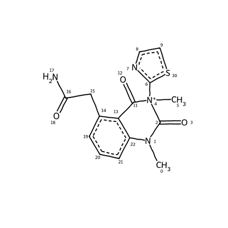 CN1C(=O)[N+](C)(c2nccs2)C(=O)c2c(CC(N)=O)cccc21